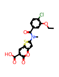 CCOc1cc(C(=O)N(C)c2cc3oc(=O)c(C(=O)O)cc3s2)ccc1Cl